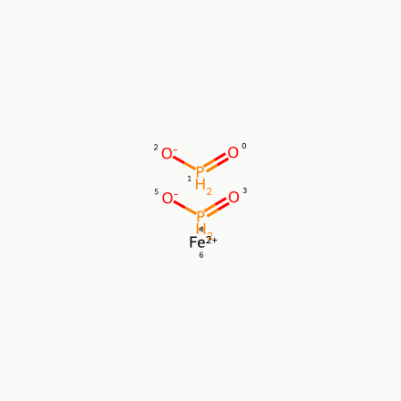 O=[PH2][O-].O=[PH2][O-].[Fe+2]